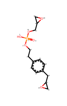 O=P(O)(OCCc1ccc(CC2CO2)cc1)OCC1CO1